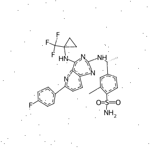 Cc1cc([C@@H](C)Nc2nc(NC3(C(F)(F)F)CC3)c3nc(-c4ccc(F)cc4)ccc3n2)ccc1S(N)(=O)=O